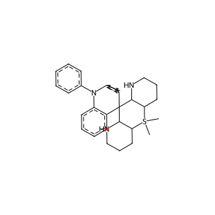 CS1(C)C2CCCNC2C2(c3ccccc3N(c3ccccc3)c3ccccc32)C2NCCCC21